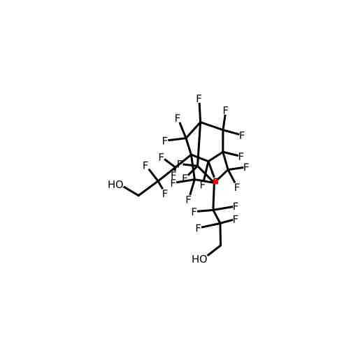 OCC(F)(F)C(F)(F)C12C(F)(F)C3(F)C(F)(F)C(F)(C1(F)F)C(F)(F)C(C(F)(F)C(F)(F)CO)(C3(F)F)C2(F)F